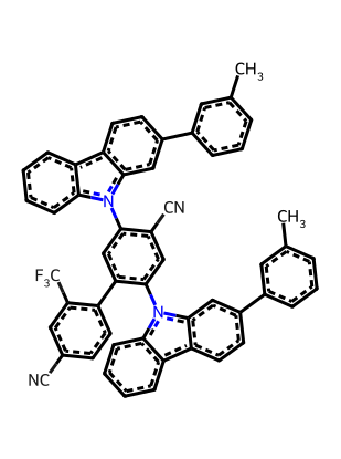 Cc1cccc(-c2ccc3c4ccccc4n(-c4cc(-c5ccc(C#N)cc5C(F)(F)F)c(-n5c6ccccc6c6ccc(-c7cccc(C)c7)cc65)cc4C#N)c3c2)c1